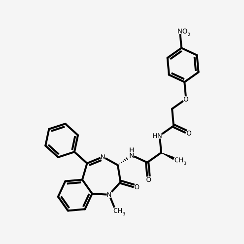 C[C@H](NC(=O)COc1ccc([N+](=O)[O-])cc1)C(=O)N[C@H]1N=C(c2ccccc2)c2ccccc2N(C)C1=O